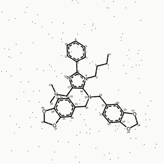 CCCCn1c(-c2ccccc2)nc(CN(C)C)c1N(Cc1ccc2c(c1)OCO2)Cc1ccc2c(c1)OCO2